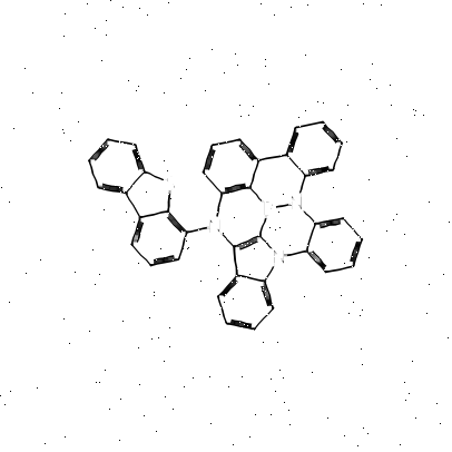 c1ccc2c(c1)-c1cccc3c1B1c4c(c5ccccc5n4-c4ccccc4N12)N3c1cccc2c1sc1ccccc12